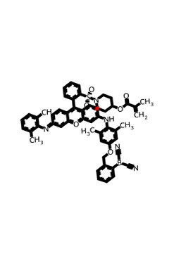 C=C(C)C(=O)OC1CCN(S(=O)(=O)c2ccccc2-c2c3cc/c(=N\c4c(C)cccc4C)cc-3oc3cc(Nc4c(C)cc(OCc5ccccc5B(C#N)C#N)cc4C)ccc23)CC1